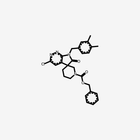 Cc1ccc(CN2C(=O)C3(CCCN(C(=O)OCc4ccccc4)C3)c3cc(Cl)nnc32)cc1C